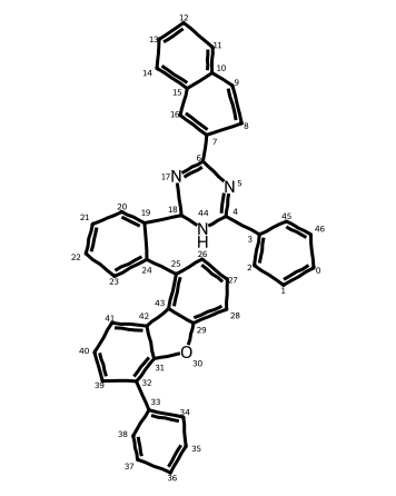 c1ccc(C2=NC(c3ccc4ccccc4c3)=NC(c3ccccc3-c3cccc4oc5c(-c6ccccc6)cccc5c34)N2)cc1